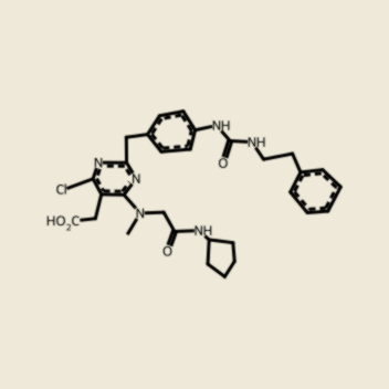 CN(CC(=O)NC1CCCC1)c1nc(Cc2ccc(NC(=O)NCCc3ccccc3)cc2)nc(Cl)c1CC(=O)O